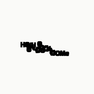 COc1cccc(CN2CCC3(CC2)CC(=O)c2cc(C=CC(=O)NO)ccc2O3)c1